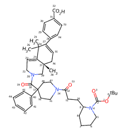 CC(C)(C)OC(=O)N1CCCCC1CCC(=O)N1CCC(C(=O)N2CC=C3C(C)(C)C(c4ccc(C(=O)O)cc4)=CC[C@]3(C)C2)(c2ccccc2)CC1